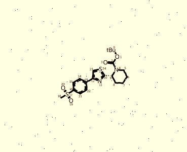 CC(C)(C)OC(=O)N1CCCC[C@@H]1c1nc(-c2ccc(S(C)(=O)=O)cc2)cs1